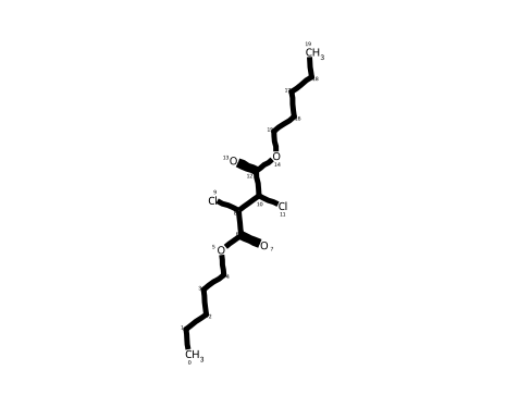 CCCCCOC(=O)C(Cl)C(Cl)C(=O)OCCCCC